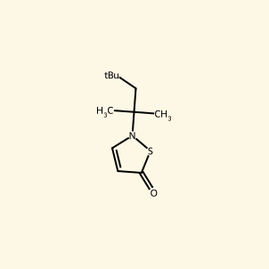 CC(C)(C)CC(C)(C)n1ccc(=O)s1